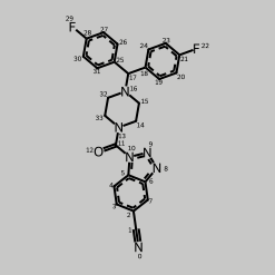 N#Cc1ccc2c(c1)nnn2C(=O)N1CCN(C(c2ccc(F)cc2)c2ccc(F)cc2)CC1